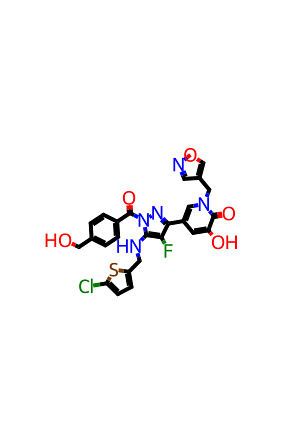 O=C(c1ccc(CO)cc1)n1nc(-c2cc(O)c(=O)n(Cc3cnoc3)c2)c(F)c1NCc1ccc(Cl)s1